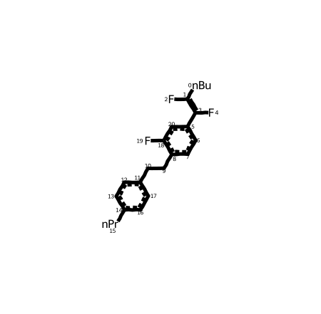 CCCC/C(F)=C(\F)c1ccc(CCc2ccc(CCC)cc2)c(F)c1